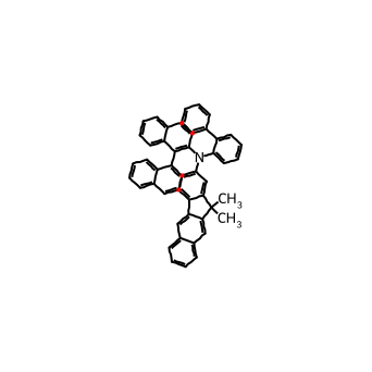 CC1(C)c2cc(N(c3ccccc3-c3ccccc3)c3ccc4ccccc4c3-c3cccc4ccccc34)ccc2-c2cc3ccccc3cc21